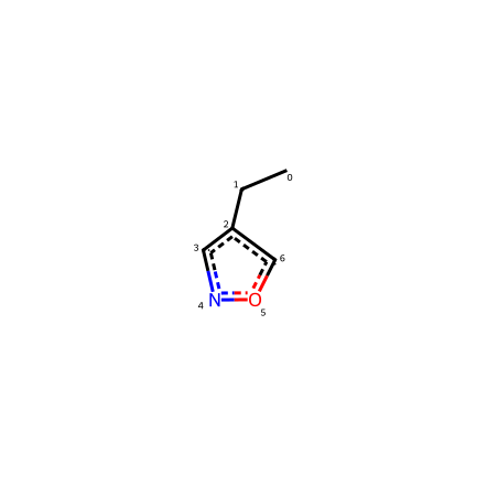 CCc1[c]no[c]1